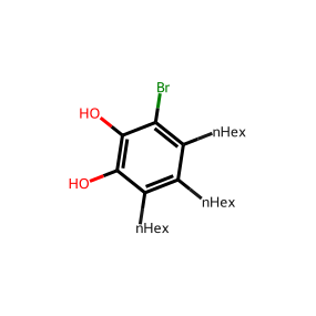 CCCCCCc1c(O)c(O)c(Br)c(CCCCCC)c1CCCCCC